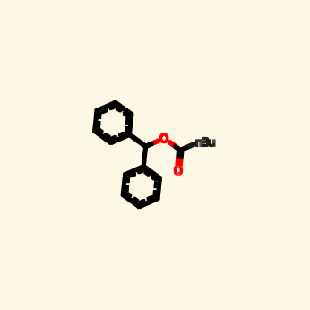 [CH2]CCCC(=O)OC(c1ccccc1)c1ccccc1